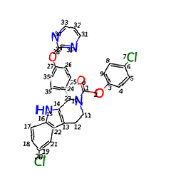 O=C(Oc1ccc(Cl)cc1)N1CCc2c([nH]c3ccc(Cl)cc23)[C@@H]1c1ccc(Oc2ncccn2)cc1